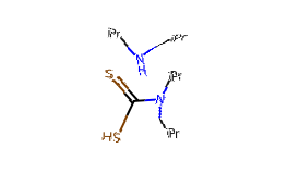 CC(C)N(C(=S)S)C(C)C.CC(C)NC(C)C